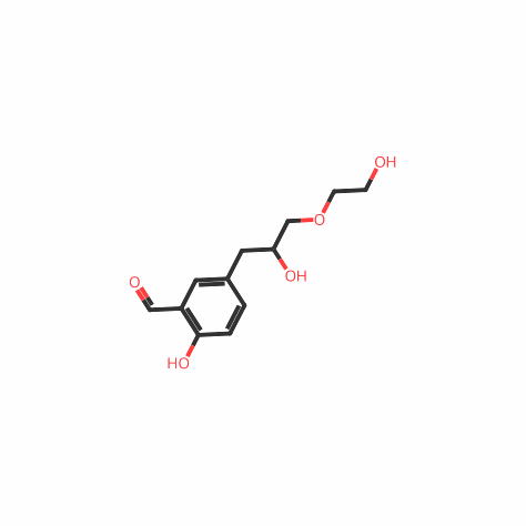 O=Cc1cc(CC(O)COCCO)ccc1O